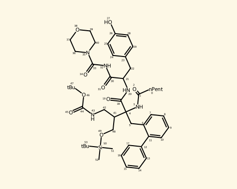 CCCCCC(=O)NC(Cc1ccccc1-c1ccccc1)(C(=O)NC(Cc1ccc(O)cc1)C(=O)NC(=O)N1CCOCC1)C(CNC(=O)OC(C)(C)C)CO[Si](C)(C)C(C)(C)C